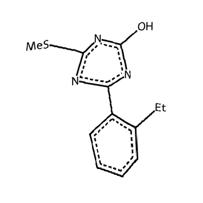 CCc1ccccc1-c1nc(O)nc(SC)n1